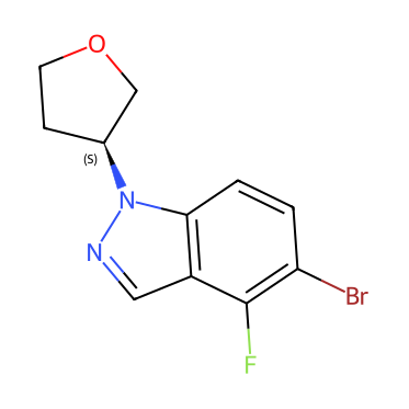 Fc1c(Br)ccc2c1cnn2[C@H]1CCOC1